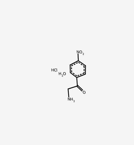 Cl.NCC(=O)c1ccc([N+](=O)[O-])cc1.O